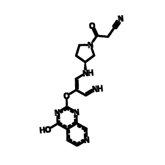 N#CCC(=O)N1CC[C@H](N/C=C(\C=N)Oc2nc(O)c3ccncc3n2)C1